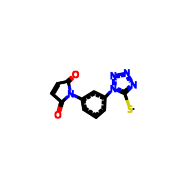 O=C1C=CC(=O)N1c1cccc(-n2nnnc2[S])c1